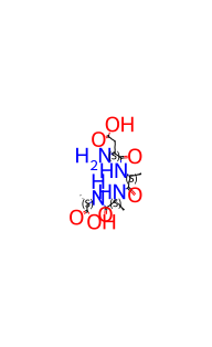 C[C@H](NC(=O)[C@H](C)NC(=O)[C@H](C)NC(=O)[C@@H](N)CC(=O)O)C(=O)O